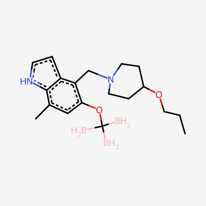 BC(B)(B)Oc1cc(C)c2[nH]ccc2c1CN1CCC(OCCC)CC1